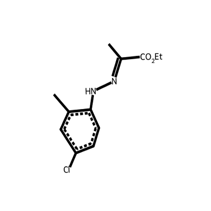 CCOC(=O)C(C)=NNc1ccc(Cl)cc1C